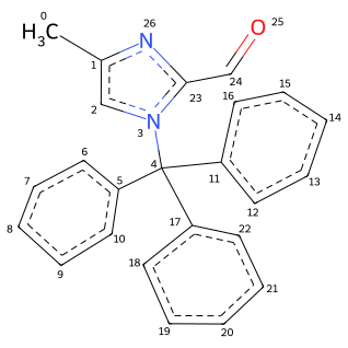 Cc1cn(C(c2ccccc2)(c2ccccc2)c2ccccc2)c(C=O)n1